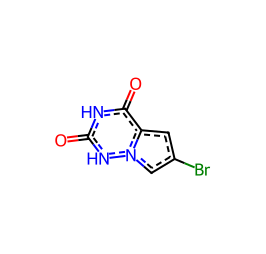 O=c1[nH]c(=O)c2cc(Br)cn2[nH]1